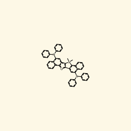 C[Si]1(C)c2c(cc(N(c3ccccc3)c3ccccc3)c3ccccc23)-c2oc3c(cc(N(c4ccccc4)c4ccccc4)c4ccccc43)c21